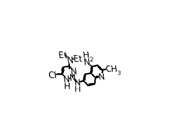 CCN(CC)C1=NN(Nc2ccc3nc(C)cc(N)c3c2)NC(Cl)=C1